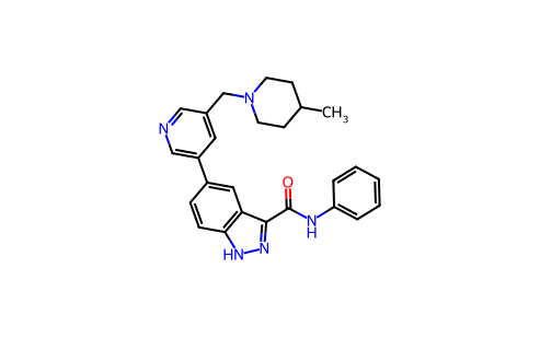 CC1CCN(Cc2cncc(-c3ccc4[nH]nc(C(=O)Nc5ccccc5)c4c3)c2)CC1